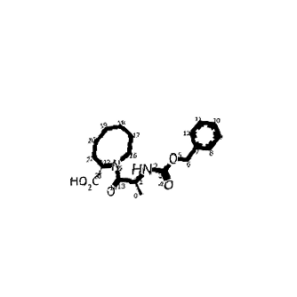 C[C@H](NC(=O)OCc1ccccc1)C(=O)N1CCCCCC[C@H]1C(=O)O